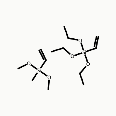 C=C[Si](C)(OC)OC.C=C[Si](OCC)(OCC)OCC